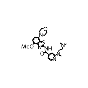 COc1ccc(N2CCOCC2)c2sc(NC(=O)c3ccnc(N(C)CCN(C)C)c3)nc12